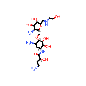 NCC[C@H](O)C(=O)N[C@@H]1CC(N)[C@@H](OC[C@H]2OC(CNCCO)[C@@H](O)C(O)C2N)C(O)C1O